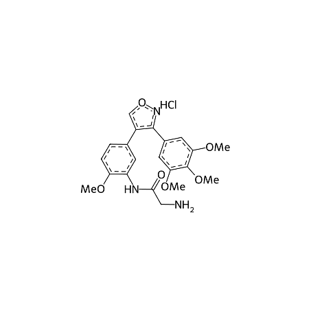 COc1ccc(-c2conc2-c2cc(OC)c(OC)c(OC)c2)cc1NC(=O)CN.Cl